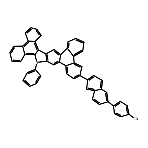 N#Cc1ccc(-c2ccc3cc(-c4ccc5c(c4)c4ccccc4c4cc6c7c8ccccc8c8ccccc8c7n(-c7ccccc7)c6cc54)ccc3c2)cc1